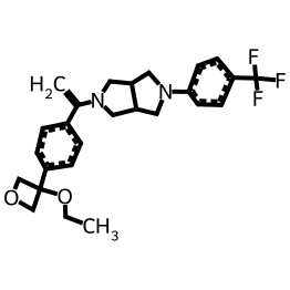 C=C(c1ccc(C2(OCC)COC2)cc1)N1CC2CN(c3ccc(C(F)(F)F)cc3)CC2C1